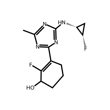 Cc1nc(N[C@@H]2C[C@@H]2F)nc(C2=C(F)C(O)CCC2)n1